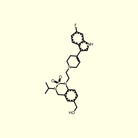 CC(C)N1Cc2cc(CO)ccc2N(CCN2CC=C(c3c[nH]c4cc(F)ccc34)CC2)S1(=O)=O